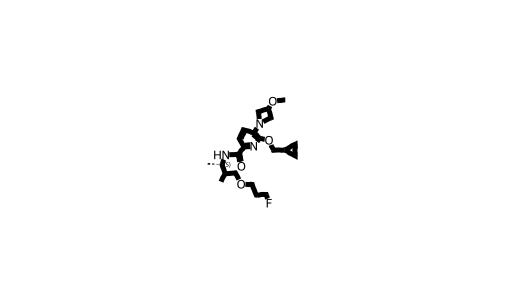 COC1CN(c2ccc(C(=O)N[C@@H](C)C(C)COCCCF)nc2OCC2CC2)C1